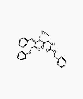 CC(C)C[C@H](NC(=O)OCc1ccccc1)C(=O)N/C(=C/c1ccccc1)C(=O)CSc1ccccc1